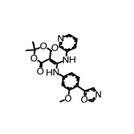 COc1cc(NC(Nc2cccnc2)=C2C(=O)OC(C)(C)OC2=O)ccc1-c1cnco1